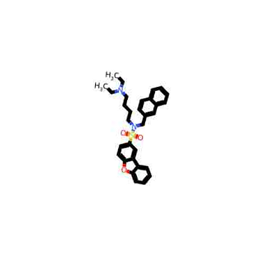 CCN(CC)CCCCN(Cc1ccc2ccccc2c1)S(=O)(=O)c1ccc2oc3ccccc3c2c1